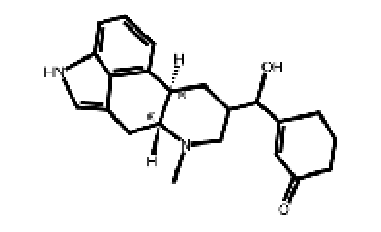 CN1CC(C(O)C2=CC(=O)CCC2)C[C@@H]2c3cccc4[nH]cc(c34)C[C@H]21